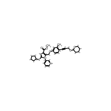 COC(=O)c1nc(SC2CCCC2)n(-c2cccnc2)c1COc1ccc(C#CCOC2CCCCO2)c(C)c1